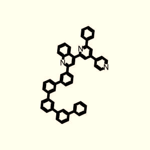 c1ccc(-c2cccc(-c3cccc(-c4cccc(-c5cccc(-c6cc(-c7cc(-c8ccncc8)cc(-c8ccccc8)n7)c7ccccc7n6)c5)c4)c3)c2)cc1